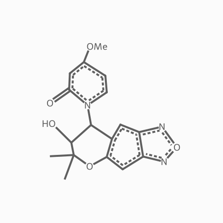 COc1ccn(C2c3cc4nonc4cc3OC(C)(C)C2O)c(=O)c1